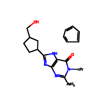 CCCn1c([AsH2])nc2nc(C3CCC(CO)C3)[nH]c2c1=O.c1ccccc1